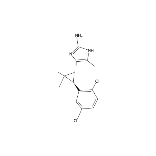 Cc1[nH]c(N)nc1[C@@H]1[C@@H](c2cc(Cl)ccc2Cl)C1(C)C